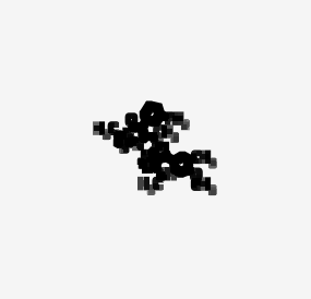 CNc1ncnc2c1c(-c1ccc(OC)c(C)c1)nn2[C@@H](C)c1nc2scc(C)n2c(=O)c1-c1cccc(P)c1